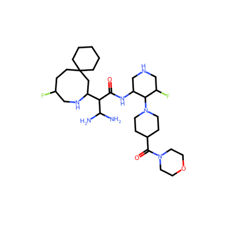 NC(N)C(C(=O)NC1CNCC(F)C1N1CCC(C(=O)N2CCOCC2)CC1)C1CC2(CCCCC2)CCC(F)CN1